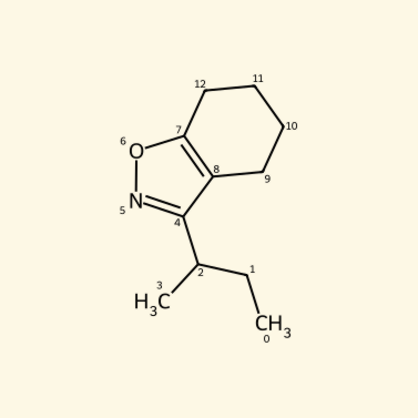 CCC(C)c1noc2c1CCCC2